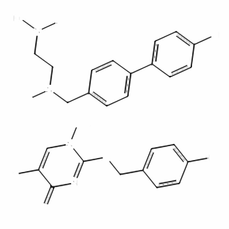 CCCc1cn(C)c(SCc2ccc(F)cc2)nc1=O.CCN(CC)CCN(C=O)Cc1ccc(-c2ccc(Cl)cc2)cc1